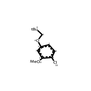 COc1cc(OCC(C)(C)C)ccc1Cl